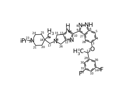 CC(Oc1ccc2[nH]nc(-c3nc4c([nH]3)CN(CC3(C)CCN(C(C)C)CC3)C4)c2c1)c1cc(F)cc(F)c1